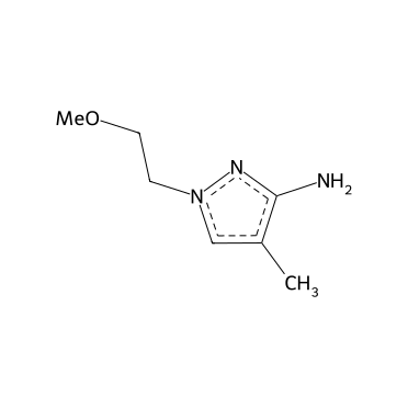 COCCn1cc(C)c(N)n1